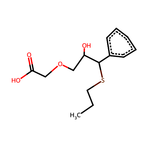 CCCSC(c1ccccc1)C(O)COCC(=O)O